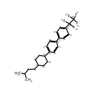 CC(C)CCC1CCC(c2ccc(-c3ccc(C(F)(F)C(F)(F)F)cc3)cc2)CC1